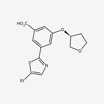 CCc1cnc(-c2cc(O[C@H]3CCOC3)cc(C(=O)O)c2)s1